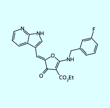 CCOC(=O)C1=C(NCc2cccc(F)c2)OC(=Cc2c[nH]c3ncccc23)C1=O